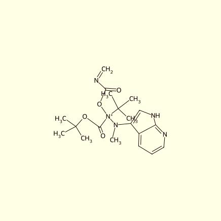 C=NC(=O)O[N+](C(=O)OC(C)(C)C)(N(C)c1c[nH]c2ncccc12)C(C)(C)C